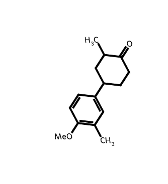 COc1ccc(C2CCC(=O)C(C)C2)cc1C